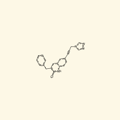 O=c1[nH]c2ccc(C#CCn3cnnc3)cc2cc1Cc1ccccc1